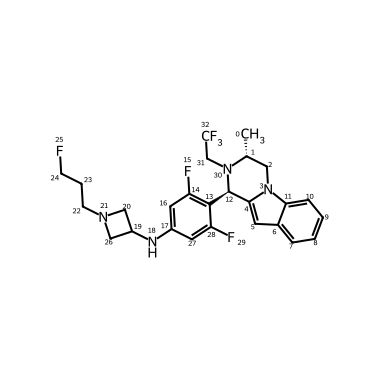 C[C@@H]1Cn2c(cc3ccccc32)[C@@H](c2c(F)cc(NC3CN(CCCF)C3)cc2F)N1CC(F)(F)F